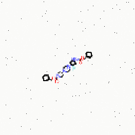 O=C(Nc1ccc(N2CCN(C3CCN(C(=O)OCc4ccccc4)CC3)CC2)c(F)c1)OCc1ccccc1